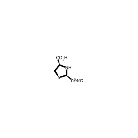 CCCCC[C@@H]1N[C@H](C(=O)O)CS1